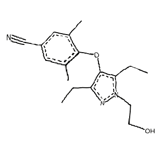 CCc1nn(CCO)c(CC)c1Oc1c(C)cc(C#N)cc1C